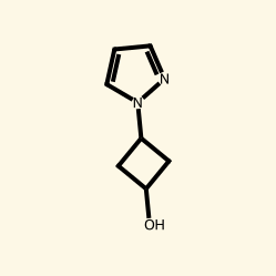 OC1CC(n2cccn2)C1